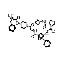 CN(Cc1ccccc1)C(=O)ON1CCN(C(=O)CNC(=O)c2cc(OCC(=O)N3CCC[C@H]3C(=O)NC3CCC3)n(-c3ccccc3)n2)CC1